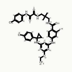 CC(C)(CNC(=O)C(=O)Nc1ccc(Cl)cc1)CNC(=O)c1ccc(Nc2nc(NC3(c4ccc(Cl)cc4)CC3)nc(OCC(F)(F)F)n2)cc1F